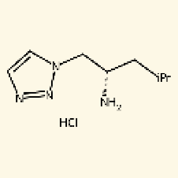 CC(C)C[C@H](N)Cn1ccnn1.Cl